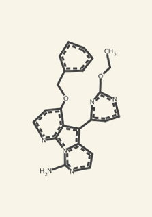 CCOc1nccc(-c2c3c(OCc4ccccc4)ccnc3n3c(N)nccc23)n1